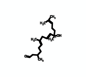 CC(C)=CCC[C@@](C)(O)C=CCC(C)=CCCC(C)CC=O